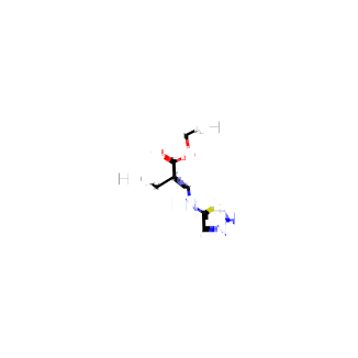 CCOC(=O)/C(=C/Nc1cnns1)CC